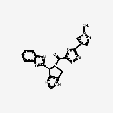 Cn1cc(-c2nnc(C(=O)N3Cc4[nH]cnc4[C@H]3c3nc4ccccc4o3)o2)cn1